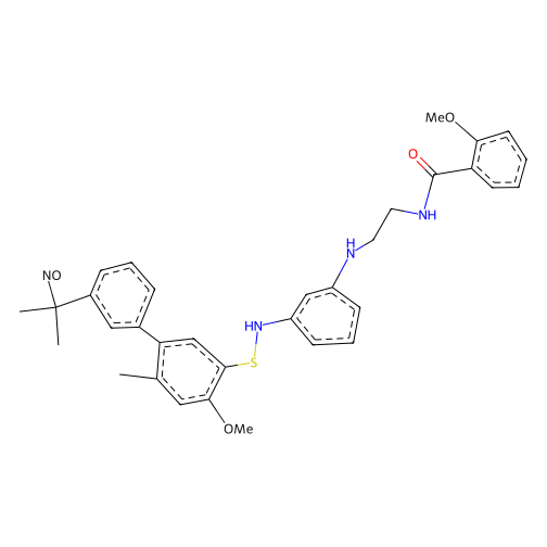 COc1cc(C)c(-c2cccc(C(C)(C)N=O)c2)cc1SNc1cccc(NCCNC(=O)c2ccccc2OC)c1